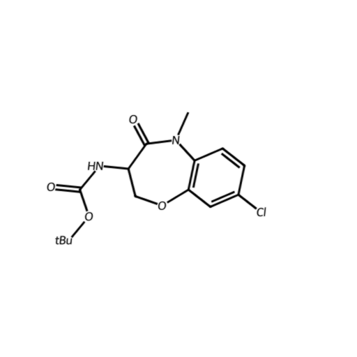 CN1C(=O)C(NC(=O)OC(C)(C)C)COc2cc(Cl)ccc21